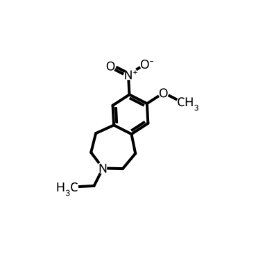 CCN1CCc2cc(OC)c([N+](=O)[O-])cc2CC1